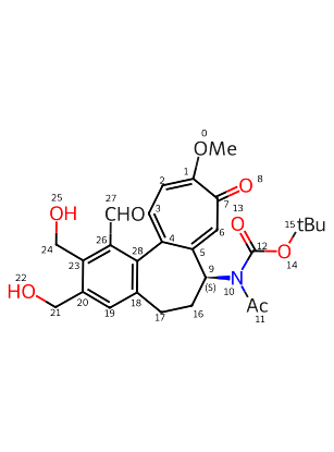 COc1ccc2c(cc1=O)[C@@H](N(C(C)=O)C(=O)OC(C)(C)C)CCc1cc(CO)c(CO)c(C=O)c1-2